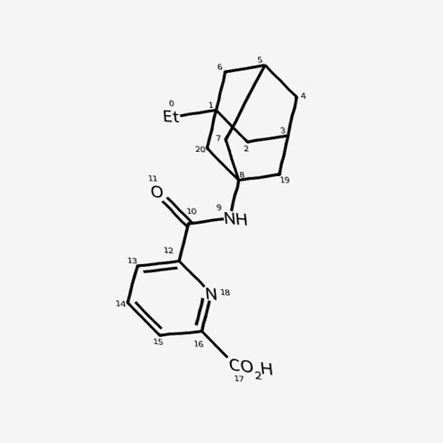 CCC12CC3CC(C1)CC(NC(=O)c1cccc(C(=O)O)n1)(C3)C2